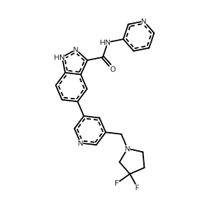 O=C(Nc1cccnc1)c1n[nH]c2ccc(-c3cncc(CN4CCC(F)(F)C4)c3)cc12